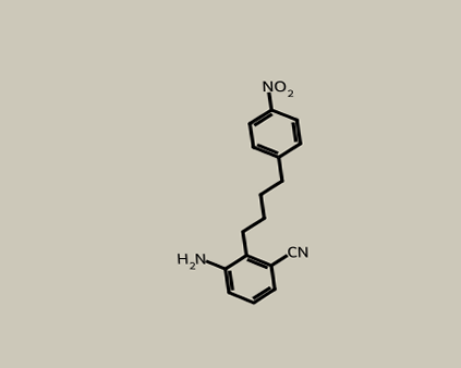 N#Cc1cccc(N)c1CCCCc1ccc([N+](=O)[O-])cc1